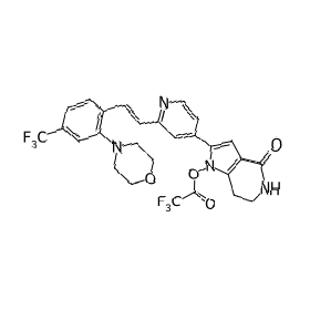 O=C1NCCc2c1cc(-c1ccnc(C=Cc3ccc(C(F)(F)F)cc3N3CCOCC3)c1)n2OC(=O)C(F)(F)F